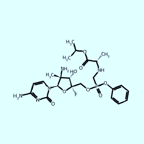 CC(C)OC(=O)[C@H](C)NCP(=O)(OC[C@@]1(F)O[C@@H](n2ccc(N)nc2=O)[C@](C)(N)[C@@H]1O)Oc1ccccc1